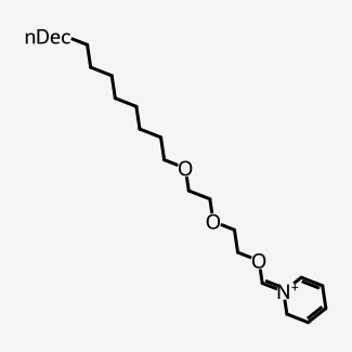 CCCCCCCCCCCCCCCCCCOCCOCCOC=[N+]1C=CC=CC1